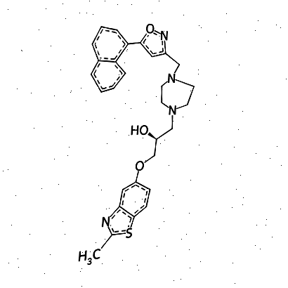 Cc1nc2cc(OC[C@@H](O)CN3CCN(Cc4cc(-c5cccc6ccccc56)on4)CC3)ccc2s1